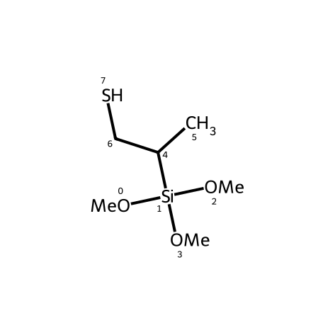 CO[Si](OC)(OC)C(C)CS